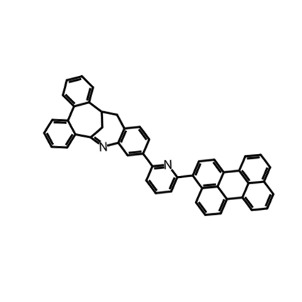 c1cc(-c2ccc3c(c2)N=C2CC(C3)c3ccccc3-c3ccccc32)nc(-c2ccc3c4cccc5cccc(c6cccc2c63)c54)c1